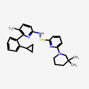 CC1(C)CCCN(c2cccc(SNc3ccc(C(F)(F)F)c(-c4ccccc4C4CC4)n3)n2)C1